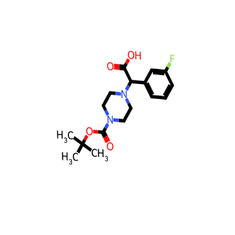 CC(C)(C)OC(=O)N1CCN(C(C(=O)O)c2cccc(F)c2)CC1